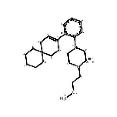 COCCN1CCN(c2ccccc2C2=CCC3(CCCCC3)CC2)CC1.Cl